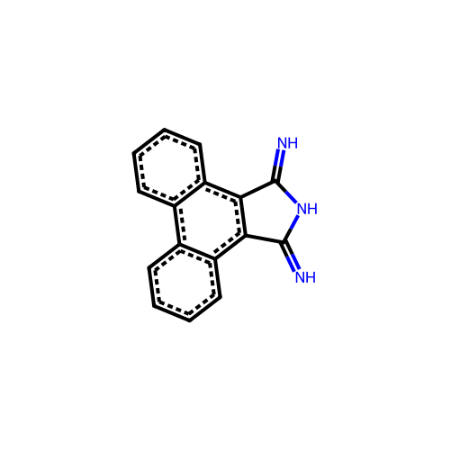 N=C1NC(=N)c2c1c1ccccc1c1ccccc21